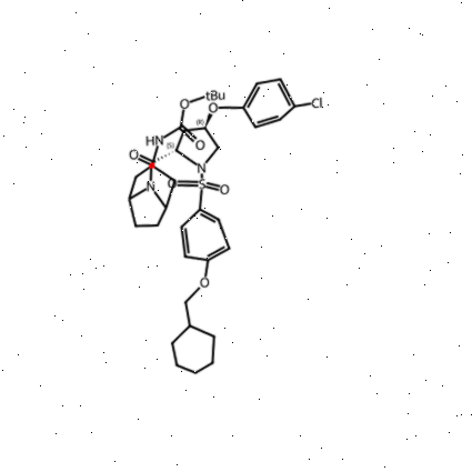 CC(C)(C)OC(=O)NC1CC2CCC(C1)N2C(=O)[C@@H]1C[C@@H](Oc2ccc(Cl)cc2)CN1S(=O)(=O)c1ccc(OCC2CCCCC2)cc1